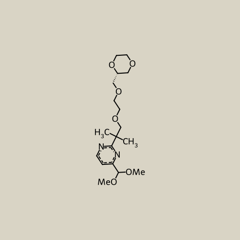 COC(OC)c1ccnc(C(C)(C)COCCOC[C@H]2COCCO2)n1